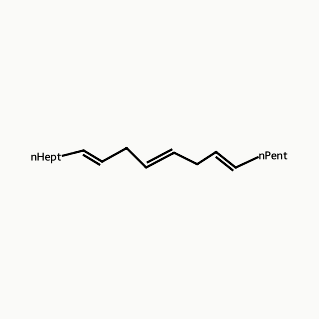 [CH2]CCCCCCC=CCC=CCC=CCCCCC